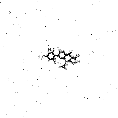 Cc1cc(C)c(-c2cc3c(cc2F)c(=O)c2c(=O)[nH]sc2n3C2CC2)c(C)c1